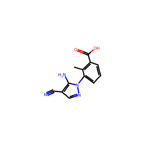 Cc1c(C(=O)O)cccc1-n1ncc(C#N)c1N